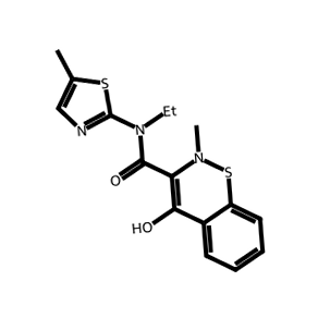 CCN(C(=O)C1=C(O)c2ccccc2SN1C)c1ncc(C)s1